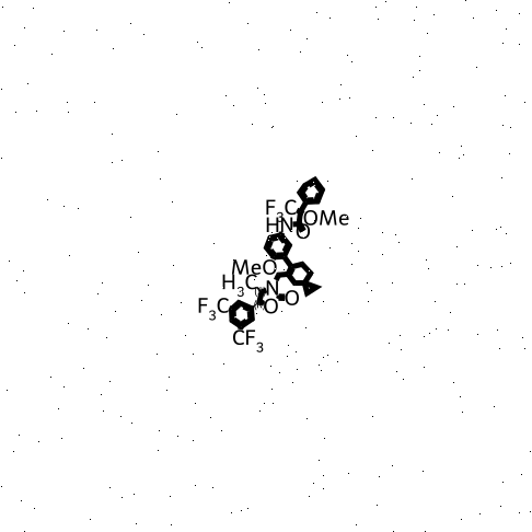 COc1ccc(NC(=O)C(OC)(c2ccccc2)C(F)(F)F)cc1C1=C(CN2C(=O)O[C@H](c3cc(C(F)(F)F)cc(C(F)(F)F)c3)[C@@H]2C)CC2(CC1)CC2